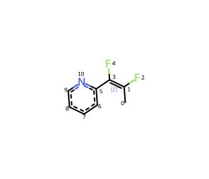 C/C(F)=C(/F)c1ccccn1